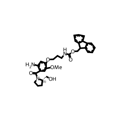 COc1cc(C(=O)N2CCC[C@H]2CO)c(N)cc1OCCCNC(=O)OCC1c2ccccc2-c2ccccc21